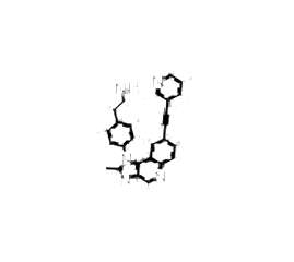 Cc1nc2cnc3ccc(C#Cc4cccnc4)cc3c2n1-c1ccc(CCN)cc1